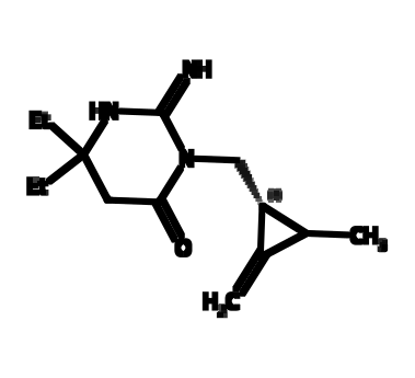 C=C1C(C)[C@H]1CN1C(=N)NC(CC)(CC)CC1=O